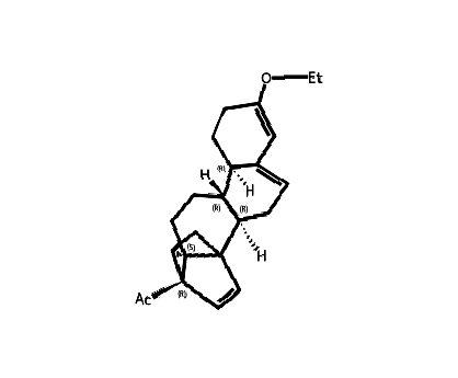 CCOC1=CC2=CC[C@@H]3[C@H](CC[C@@]4(C)C35C=C[C@]4(C(C)=O)CC5)[C@H]2CC1